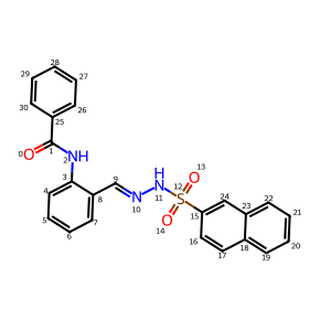 O=C(Nc1ccccc1C=NNS(=O)(=O)c1ccc2ccccc2c1)c1ccccc1